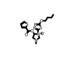 CCCCOc1nnc([N+]2([O-])CN(C)CC2OC(=O)c2cccs2)s1